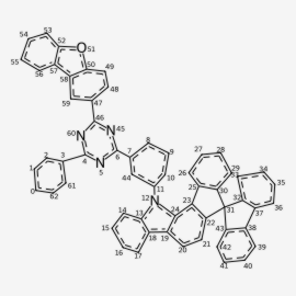 c1ccc(-c2nc(-c3cccc(-n4c5ccccc5c5ccc6c(c54)-c4ccccc4C64c5ccccc5-c5ccccc54)c3)nc(-c3ccc4oc5ccccc5c4c3)n2)cc1